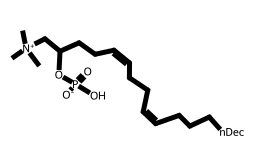 CCCCCCCCCCCCC/C=C\CC/C=C\CCC(C[N+](C)(C)C)OP(=O)([O-])O